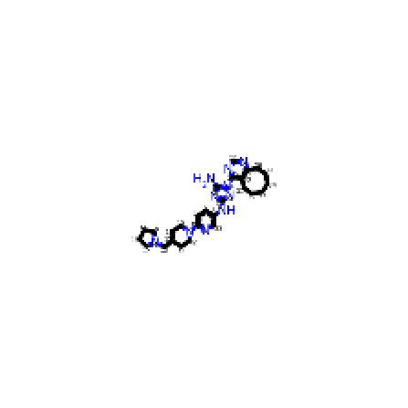 Nc1nc(Nc2ccc(N3CCC(CN4CCCC4)CC3)nc2)nn1-c1ncnc2c1CCCCCC2